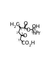 C=C(CC(=O)CC(=O)O)C(=O)OC(O)CCC